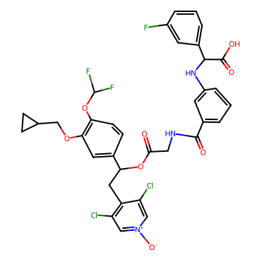 O=C(CNC(=O)c1cccc(NC(C(=O)O)c2cccc(F)c2)c1)OC(Cc1c(Cl)c[n+]([O-])cc1Cl)c1ccc(OC(F)F)c(OCC2CC2)c1